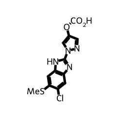 CSc1cc2[nH]c(-n3cc(OC(=O)O)cn3)nc2cc1Cl